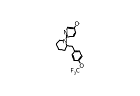 [O]c1ccc(N2CCCCC2Cc2ccc(OC(F)(F)F)cc2)nc1